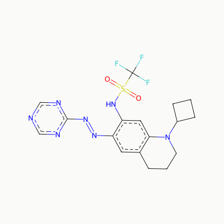 O=S(=O)(Nc1cc2c(cc1N=Nc1ncncn1)CCCN2C1CCC1)C(F)(F)F